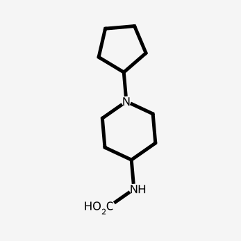 O=C(O)NC1CCN(C2CCCC2)CC1